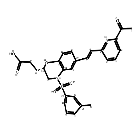 CC(=O)c1cccc(/C=C/c2ccc3c(c2)N(S(=O)(=O)c2cccc(C)c2)C[C@H](CCC(=O)O)O3)n1